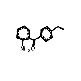 CCc1ccc(C(=O)c2ccccc2N)cc1